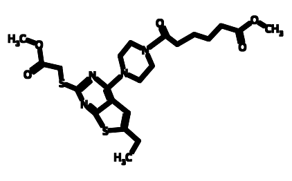 CCc1cc2c(N3CCN(C(=O)CCCCC(=O)OC)CC3)nc(SCC(=O)OC)nc2s1